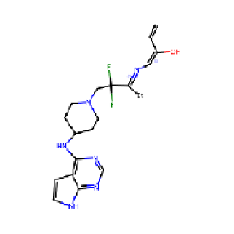 C=C/C(O)=C\N=C(/CC)C(F)(F)CN1CCC(Nc2ncnc3[nH]ccc23)CC1